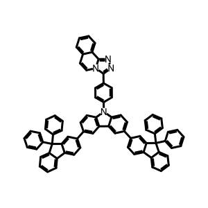 c1ccc(C2(c3ccccc3)c3ccccc3-c3ccc(-c4ccc5c(c4)c4cc(-c6ccc7c(c6)C(c6ccccc6)(c6ccccc6)c6ccccc6-7)ccc4n5-c4ccc(-c5nnc6c7ccccc7ccn56)cc4)cc32)cc1